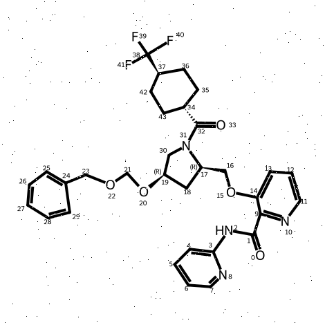 O=C(Nc1ccccn1)c1ncccc1OC[C@H]1C[C@@H](OCOCc2ccccc2)CN1C(=O)[C@H]1CC[C@H](C(F)(F)F)CC1